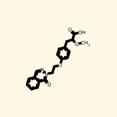 COC(Cc1ccc(OCCn2ncc3ccccc3c2=O)cc1)C(=O)O